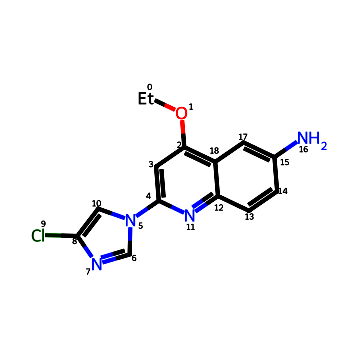 CCOc1cc(-n2cnc(Cl)c2)nc2ccc(N)cc12